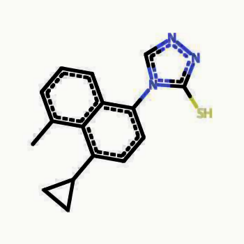 Cc1cccc2c(-n3cnnc3S)ccc(C3CC3)c12